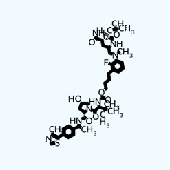 Cc1ncsc1-c1ccc(C(C)NC(=O)[C@@H]2C[C@@H](O)CN2C(=O)C(NC(=O)OCCCCc2cccc(N(C)CC(CCC(N)=O)NC(=O)OC(C)(C)C)c2F)C(C)(C)C)cc1